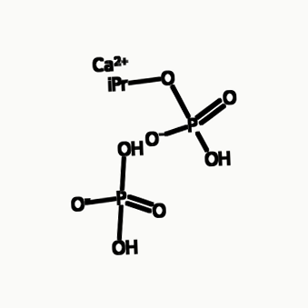 CC(C)OP(=O)([O-])O.O=P([O-])(O)O.[Ca+2]